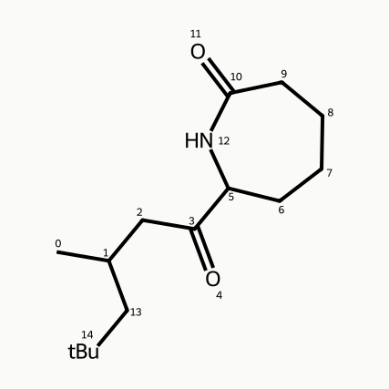 CC(CC(=O)C1CCCCC(=O)N1)CC(C)(C)C